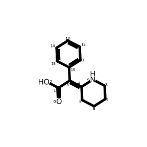 O=C(O)C(=C1CCCCN1)c1ccccc1